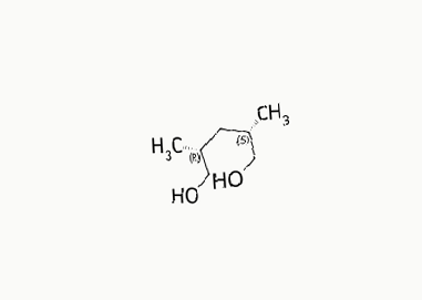 C[C@H](CO)C[C@@H](C)CO